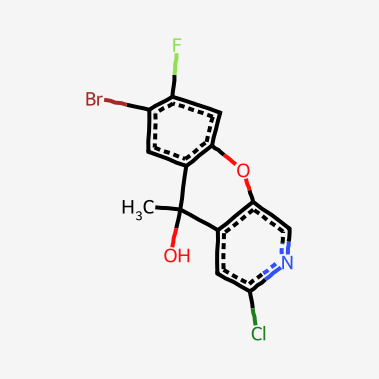 CC1(O)c2cc(Cl)ncc2Oc2cc(F)c(Br)cc21